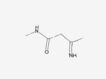 CNC(=O)CC(C)=N